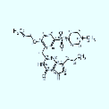 C=CCOc1ccc(S(=O)(=O)N2CCN(C)CC2)cc1Cc1nc2c(CCC)n[nH]c2c(=O)[nH]1